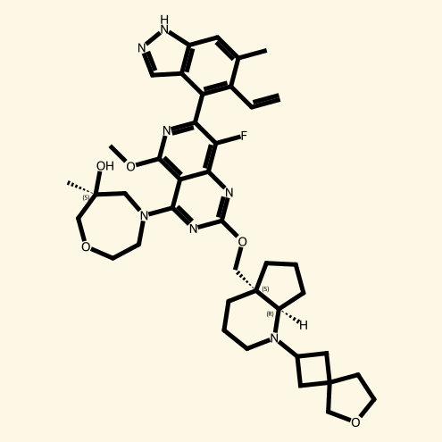 C=Cc1c(C)cc2[nH]ncc2c1-c1nc(OC)c2c(N3CCOC[C@@](C)(O)C3)nc(OC[C@]34CCC[C@H]3N(C3CC5(CCOC5)C3)CCC4)nc2c1F